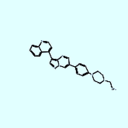 CCN1CCN(c2ccc(-c3cnc4c(-c5ccnc6ccccc56)cnn4c3)cc2)CC1